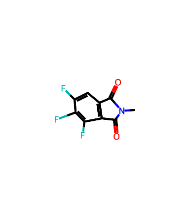 CN1C(=O)c2cc(F)c(F)c(F)c2C1=O